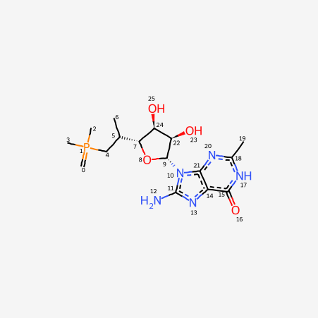 C=P(C)(C)CC(C)[C@H]1O[C@@H](n2c(N)nc3c(=O)[nH]c(C)nc32)[C@H](O)[C@@H]1O